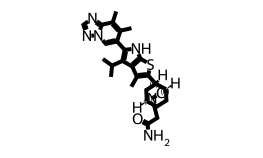 Cc1c(-c2[nH]c3sc([C@H]4C[C@@H]5CC[C@H]4CN5CC(N)=O)c(C)c3c2C(C)C)cn2ncnc2c1C